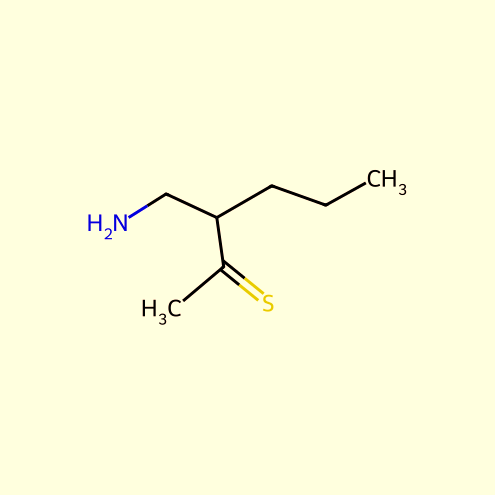 CCCC(CN)C(C)=S